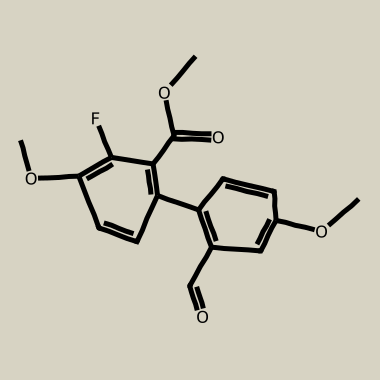 COC(=O)c1c(-c2ccc(OC)cc2C=O)ccc(OC)c1F